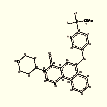 COC(C)(C)c1ccc(Cc2cc3c(=O)n(C4CCOCC4)cnc3c3ccccc23)cn1